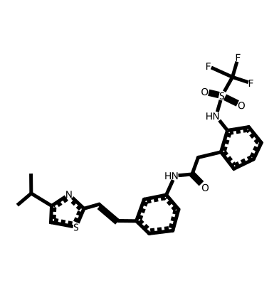 CC(C)c1csc(C=Cc2cccc(NC(=O)Cc3ccccc3NS(=O)(=O)C(F)(F)F)c2)n1